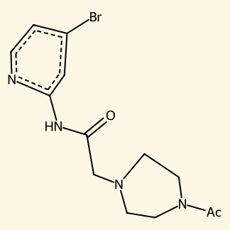 CC(=O)N1CCN(CC(=O)Nc2cc(Br)ccn2)CC1